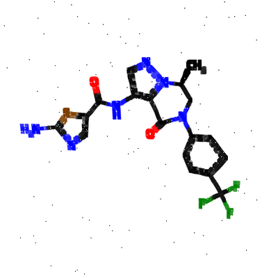 C[C@H]1CN(c2ccc(C(F)(F)F)cc2)C(=O)c2c(NC(=O)c3cnc(N)s3)cnn21